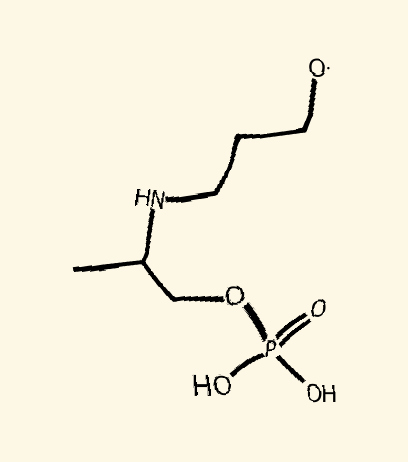 CC(COP(=O)(O)O)NCCC[O]